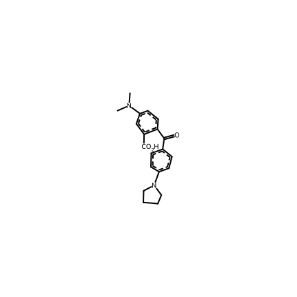 CN(C)c1ccc(C(=O)c2ccc(N3CCCC3)cc2)c(C(=O)O)c1